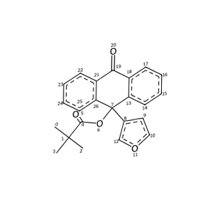 CC(C)(C)C(=O)OC1(c2ccoc2)c2ccccc2C(=O)c2ccccc21